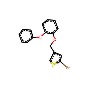 Brc1cc(COc2ccccc2Oc2ccccc2)cs1